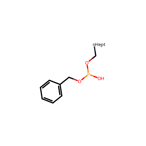 CCCCCCCCOP(O)OCc1ccccc1